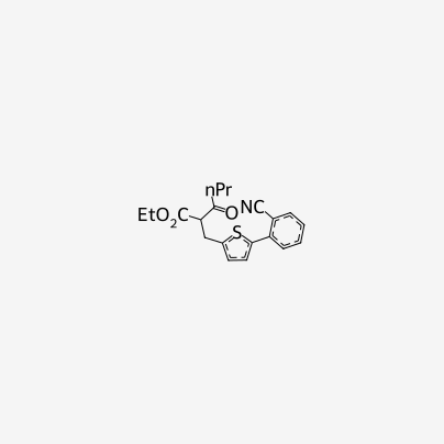 CCCC(=O)C(Cc1ccc(-c2ccccc2C#N)s1)C(=O)OCC